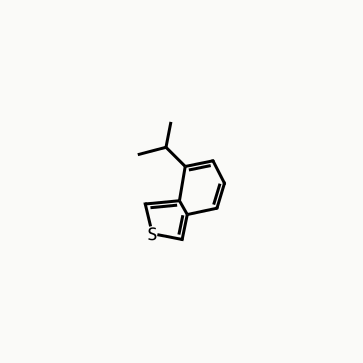 CC(C)c1cccc2cscc12